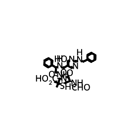 CC1(C)S[C@@H]2[C@H](NC=O)C(=O)N2[C@@]1(NC(=O)C(NC(=O)c1cnc(NCc2ccccc2)nc1O)c1ccccc1)C(=O)O